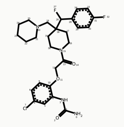 NC(=O)Nc1cc(Cl)ccc1OCC(=O)N1CCC(CN2CCCCC2)(C(F)c2ccc(F)cc2)CC1